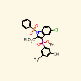 CCOC(=O)c1c(P(=O)(OCC)c2cc(C)cc(C#N)c2)c2cc(Cl)ccc2n1S(=O)(=O)c1ccccc1